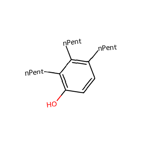 CCCCCc1ccc(O)c(CCCCC)c1CCCCC